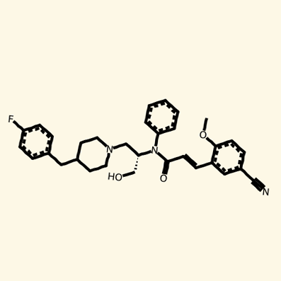 COc1ccc(C#N)cc1C=CC(=O)N(c1ccccc1)[C@H](CO)CN1CCC(Cc2ccc(F)cc2)CC1